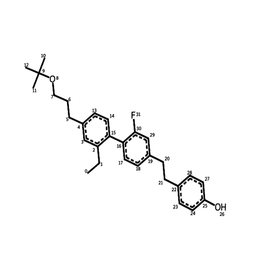 CCc1cc(CCCOC(C)(C)C)ccc1-c1ccc(CCc2ccc(O)cc2)cc1F